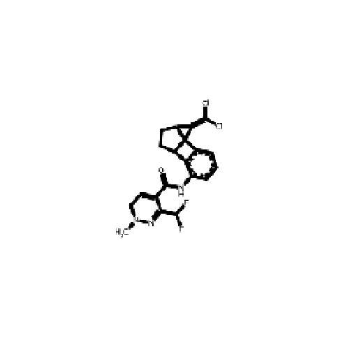 CN1CC=C(C(=O)Nc2cccc3c2C2CCC4C(=C(Cl)Cl)C342)C(C(F)F)=N1